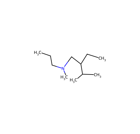 CCCN(C)CC(CC)C(C)C